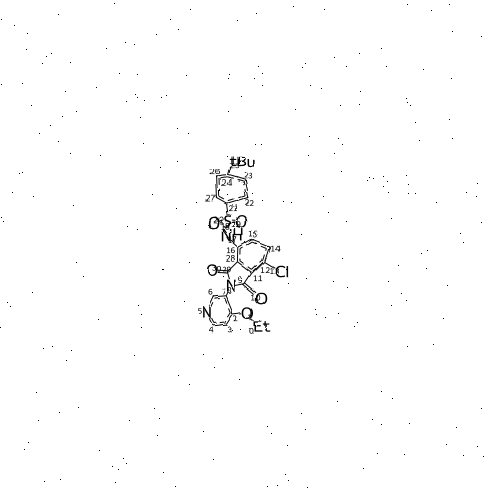 CCOc1ccncc1N1C(=O)c2c(Cl)ccc(NS(=O)(=O)c3ccc(C(C)(C)C)cc3)c2C1=O